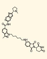 Cc1nn(CCCCCCNc2ccc3c(c2)C(=O)N(C2CCC(=O)NC2=O)C3=O)c2cc(C(=O)Nc3cn4cc([C@H]5CCCN5C)nc4cn3)ccc12